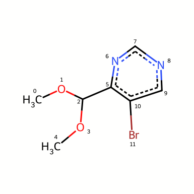 COC(OC)c1ncncc1Br